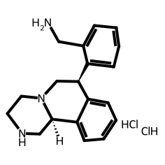 Cl.Cl.NCc1ccccc1[C@@H]1CN2CCNC[C@@H]2c2ccccc21